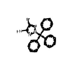 [NH]c1nn(C(c2ccccc2)(c2ccccc2)c2ccccc2)nc1Br